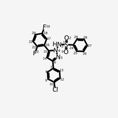 O=S(=O)(Nn1nc(-c2ccc(Cl)cc2)cc1-c1cc(F)ccc1F)c1ccccc1